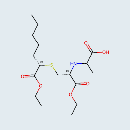 CCCCC[C@H](SC[C@H](NC(C)C(=O)O)C(=O)OCC)C(=O)OCC